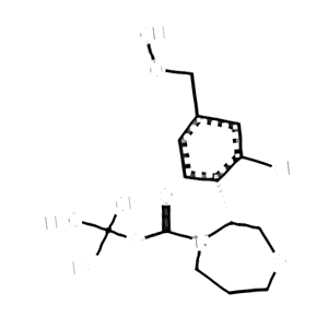 COCc1ccc([C@@H]2COCCCN2C(=O)OC(C)(C)C)c(Cl)c1